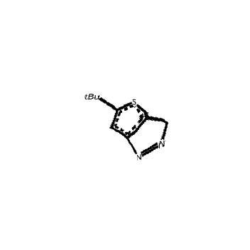 CC(C)(C)c1cc2c(s1)CN=N2